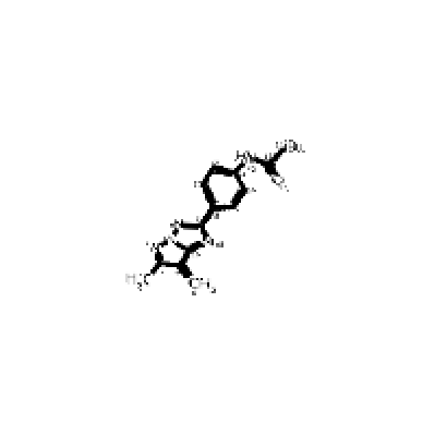 C=c1c(C)nn2nc(-c3ccc(NC(=O)C(C)CC)cc3)nc12